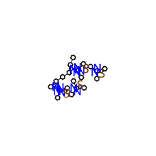 c1ccc(-c2ccc3c4cc(-c5ccc(-c6ccc7c8ccccc8n(-c8nc(-c9ccccc9)nc(-c9cccc%10c9sc9cccc(-c%11nc(-c%12ccccc%12)c%12sc%13ccccc%13c%12n%11)c9%10)n8)c7c6)cc5)ccc4n(-c4nc(-c5ccccc5)nc(-c5cccc6c5sc5cc(-c7nc(-c8ccccc8)c8sc9ccccc9c8n7)ccc56)n4)c3c2)cc1